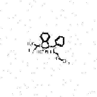 CNCC[C@H](c1ccccc1)N1c2ccccc2N(C(C)C)S1(O)O